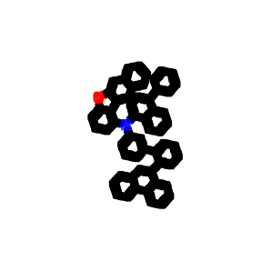 c1ccc(-c2ccc(N(c3cccc(-c4ccccc4-c4cc5ccccc5c5ccccc45)c3)c3cccc4oc5cc6ccccc6cc5c34)c3ccccc23)cc1